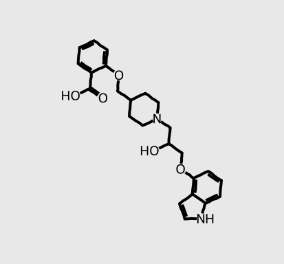 O=C(O)c1ccccc1OCC1CCN(CC(O)COc2cccc3[nH]ccc23)CC1